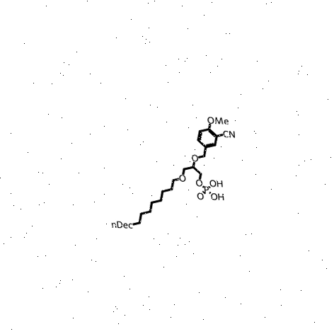 CCCCCCCCCCCCCCCCCCOCC(COP(=O)(O)O)OCc1ccc(OC)c(C#N)c1